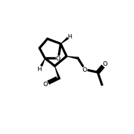 CC(=O)OC[C@H]1[C@@H](C=O)[C@@H]2CC[C@H]1O2